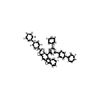 c1ccc(-c2ccc(-c3nc(-c4ccccc4)nc(-c4c5nc(-c6ccc(-c7ccccc7)cc6)oc5cc5oc6ccccc6c45)n3)cc2)cc1